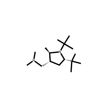 C[C@@H]1[C@@H](CN(C)C)C[C@@H](C(C)(C)C)N1C(C)(C)C